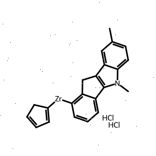 Cc1ccc2c(c1)c1c(n2C)-c2ccc[c]([Zr][C]3=CC=CC3)c2C1.Cl.Cl